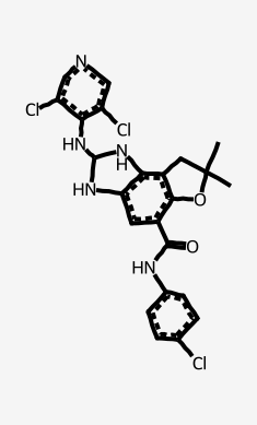 CC1(C)Cc2c3c(cc(C(=O)Nc4ccc(Cl)cc4)c2O1)NC(Nc1c(Cl)cncc1Cl)N3